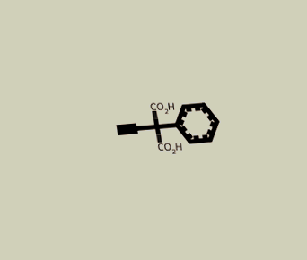 C#CC(C(=O)O)(C(=O)O)c1ccccc1